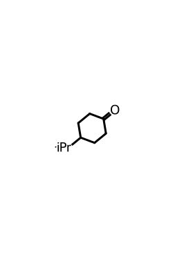 C[C](C)C1CCC(=O)CC1